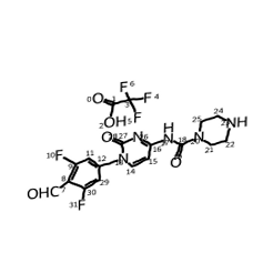 O=C(O)C(F)(F)F.O=Cc1c(F)cc(-n2ccc(NC(=O)N3CCNCC3)nc2=O)cc1F